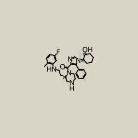 Cc1ccc(F)cc1NCC[C@@H]1CNCCN1C(=O)c1ncn([C@@H]2CCCC[C@]2(C)O)c1-c1ccccc1